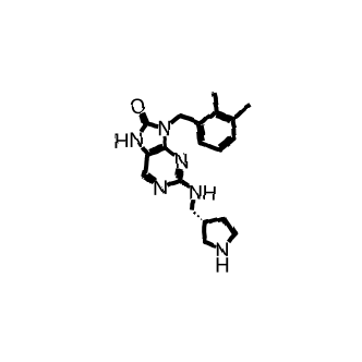 Cc1cccc(Cn2c(=O)[nH]c3cnc(NC[C@@H]4CCNC4)nc32)c1C